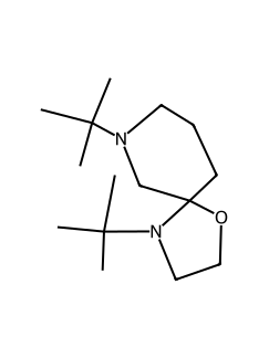 CC(C)(C)N1CCCC2(C1)OCCN2C(C)(C)C